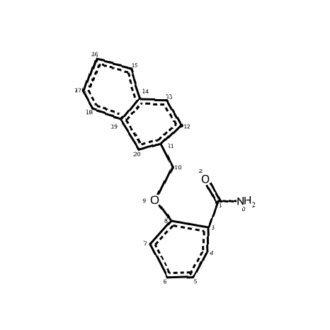 NC(=O)c1ccccc1OCc1ccc2ccccc2c1